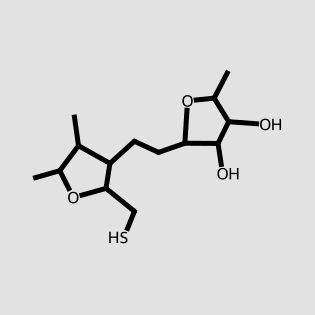 CC1OC(CS)C(CCC2OC(C)C(O)C2O)C1C